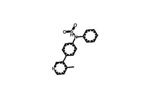 Cc1ccncc1-c1ccc(N(c2ccccc2)[SH](=O)=O)cc1